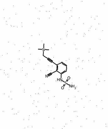 C[Si](C)(C)CC#Cc1cccc(NS(N)(=O)=O)c1C#N